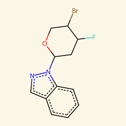 FC1CC(n2ncc3ccccc32)OCC1Br